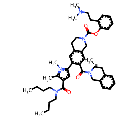 CCCCN(CCCC)C(=O)c1cc(-c2cc3c(cc2C(=O)N2Cc4ccccc4C[C@H]2C)CN(C(=O)Oc2ccccc2CCN(C)C)CC3)n(C)c1C